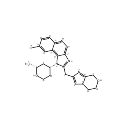 C[C@@H]1C[C@H](n2c(Cc3cn4c(n3)COCC4)nc3cnc4ccc(Cl)cc4c32)CCO1